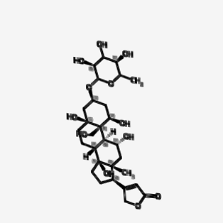 CC1OC(O[C@H]2C[C@@H](O)[C@]3(CO)[C@H]4[C@H](O)C[C@]5(C)[C@@H](C6=CC(=O)OC6)CC[C@]5(O)[C@@H]4CC[C@]3(O)C2)[C@@H](O)C(O)[C@H]1O